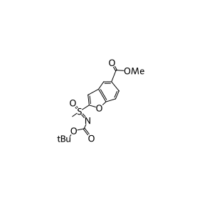 COC(=O)c1ccc2oc(S(C)(=O)=NC(=O)OC(C)(C)C)cc2c1